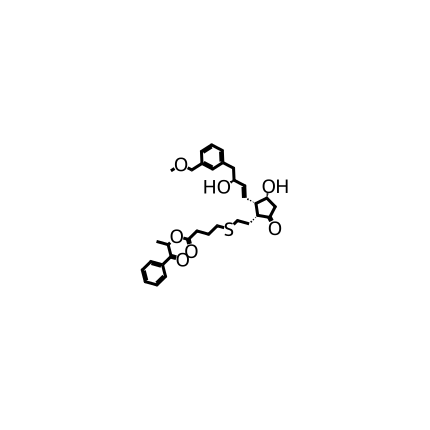 COCc1cccc(C[C@H](O)/C=C/[C@@H]2[C@H](O)CC(=O)[C@@H]2CCSCCCC(=O)OC(C)C(=O)c2ccccc2)c1